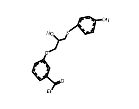 CCC(=O)c1cccc(OCC(O)CSc2ccc(O)cc2)c1